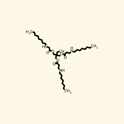 CCCCCCCCNCCC(=O)OCC(CC)(COC(=O)CCNCCCCCCCC)COC(=O)CNCCCCCCCC